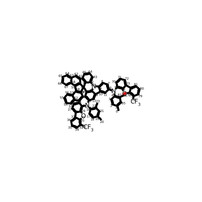 Cc1ccc(N(c2ccc3c(c2)c2cc(N(c4ccc(C)cc4C)c4cccc5c4oc4c(C(F)(F)F)cccc45)cc4c2n3-c2ccccc2C42c3ccc4ccccc4c3-c3c2ccc2ccccc32)c2cccc3c2oc2c(C(F)(F)F)cccc23)c(C)c1